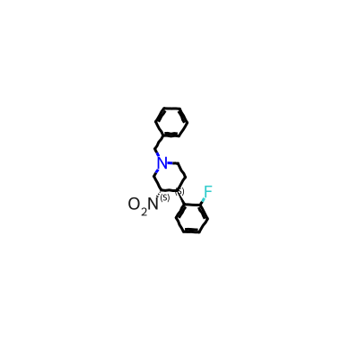 O=[N+]([O-])[C@@H]1CN(Cc2ccccc2)CC[C@H]1c1ccccc1F